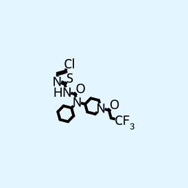 O=C(CC(F)(F)F)N1CCC(N(C(=O)Nc2ncc(Cl)s2)C2CCCCC2)CC1